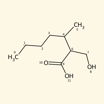 C[CH]CCC(C)C(CO)C(=O)O